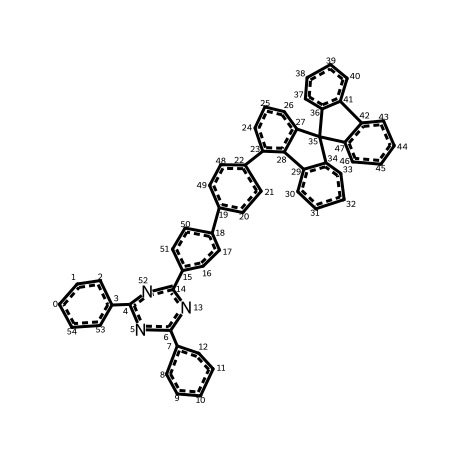 c1ccc(-c2nc(-c3ccccc3)nc(-c3ccc(-c4ccc(-c5cccc6c5-c5ccccc5C65c6ccccc6-c6ccccc65)cc4)cc3)n2)cc1